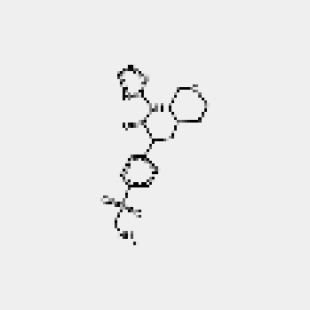 NCS(=O)(=O)c1ccc(C(CC2CCOCC2)C(=O)Nc2nccs2)cc1